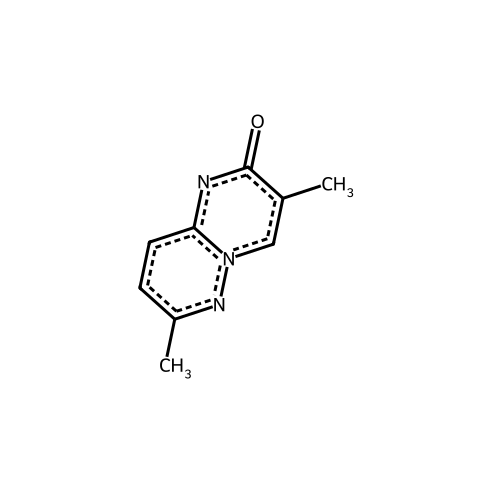 Cc1ccc2nc(=O)c(C)cn2n1